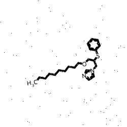 CCCCCCCCCCOCC(Cn1ccnc1)Sc1ccccc1